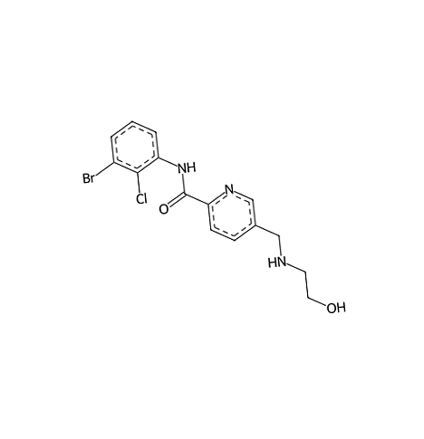 O=C(Nc1cccc(Br)c1Cl)c1ccc(CNCCO)cn1